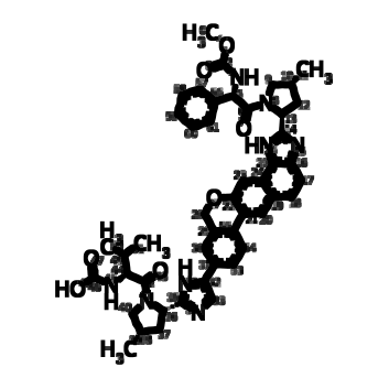 COC(=O)N[C@@H](C(=O)N1C[C@@H](C)C[C@H]1c1nc2ccc3cc4c(cc3c2[nH]1)OCc1cc(-c2cnc([C@@H]3C[C@H](C)CN3C(=O)[C@@H](NC(=O)O)C(C)C)[nH]2)ccc1-4)c1ccccc1